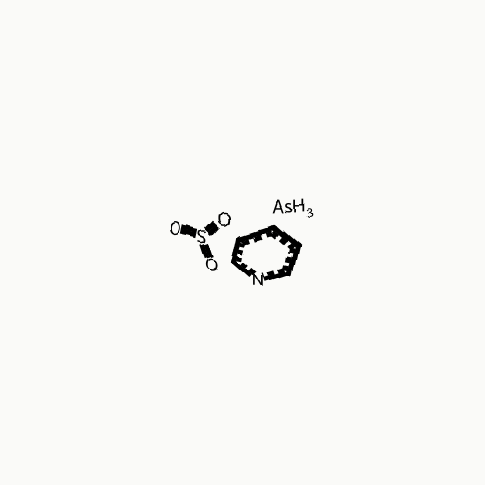 O=S(=O)=O.[AsH3].c1ccncc1